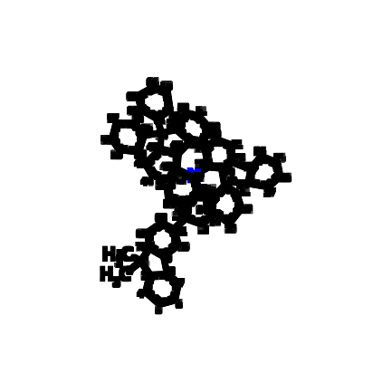 CC1(C)c2ccccc2-c2cc(-c3cccc(N(c4cccc(-c5ccccc5)c4-c4ccccc4-c4ccccc4)c4cccc5c4-c4ccccc4C5(c4ccccc4)c4ccccc4)c3)ccc21